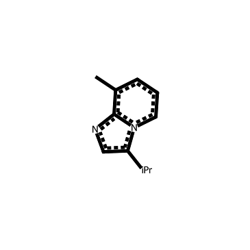 Cc1cccn2c(C(C)C)cnc12